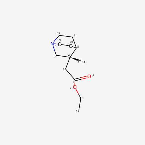 CCOC(=O)C[C@@H]1CN2CCC1CC2